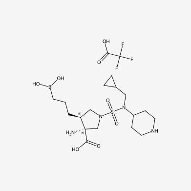 N[C@@]1(C(=O)O)CN(S(=O)(=O)N(CC2CC2)C2CCNCC2)C[C@@H]1CCCB(O)O.O=C(O)C(F)(F)F